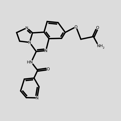 NC(=O)COc1ccc2c(c1)N=C(NC(=O)c1cccnc1)N1CCN=C21